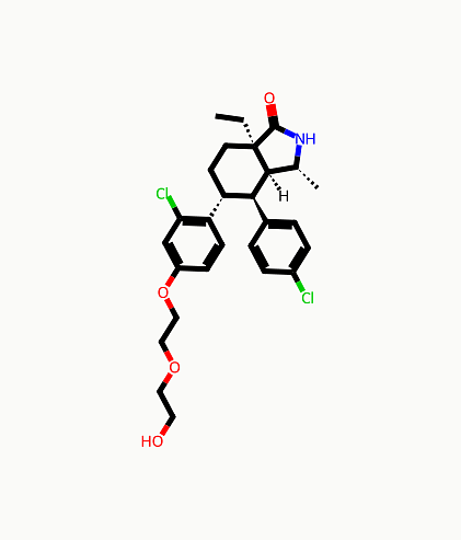 CC[C@@]12CC[C@@H](c3ccc(OCCOCCO)cc3Cl)[C@H](c3ccc(Cl)cc3)[C@@H]1[C@@H](C)NC2=O